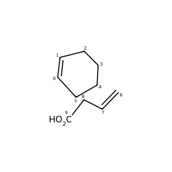 C1=CCCCC1.C=CCC(=O)O